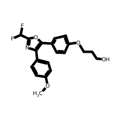 COc1ccc(-c2nc(C(F)F)oc2-c2ccc(OCCCO)cc2)cc1